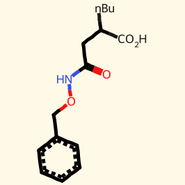 CCCCC(CC(=O)NOCc1ccccc1)C(=O)O